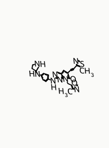 Cc1ncoc1Cn1c(=O)c(C#Cc2ncsc2C)cc2cnc(Nc3ccc(NC4CCNC4)cc3)nc21